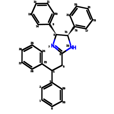 c1ccc(C(CC2=N[C@H](c3ccccc3)[C@H](c3ccccc3)N2)c2ccccc2)cc1